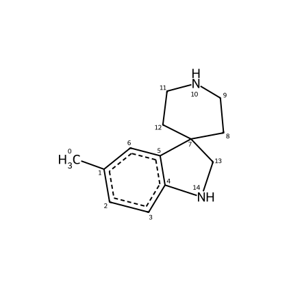 Cc1ccc2c(c1)C1(CCNCC1)CN2